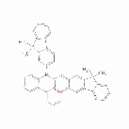 CC1(C)c2ccccc2-c2ccc(N(c3ccc4cc5c(cc4c3)C(C)(C)c3ccccc3-5)c3ccccc3-c3ccccc3)cc21